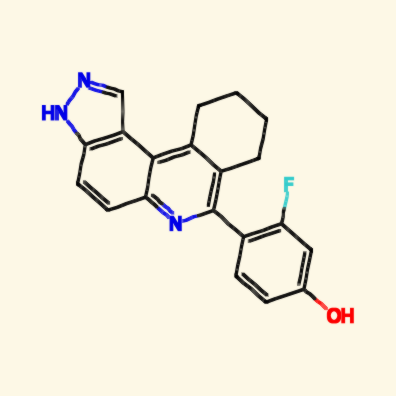 Oc1ccc(-c2nc3ccc4[nH]ncc4c3c3c2CCCC3)c(F)c1